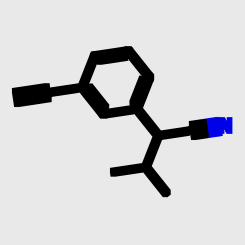 C#Cc1cccc(C(C#N)C(C)C)c1